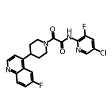 O=C(Nc1ncc(Cl)cc1F)C(=O)N1CCC(c2ccnc3ccc(F)cc23)CC1